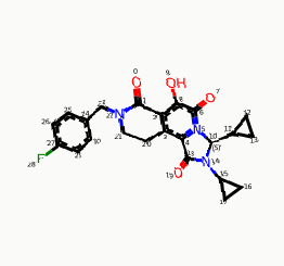 O=C1c2c(c3n(c(=O)c2O)[C@@H](C2CC2)N(C2CC2)C3=O)CCN1Cc1ccc(F)cc1